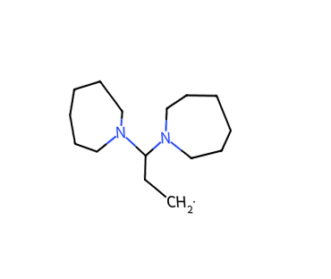 [CH2]CC(N1CCCCCC1)N1CCCCCC1